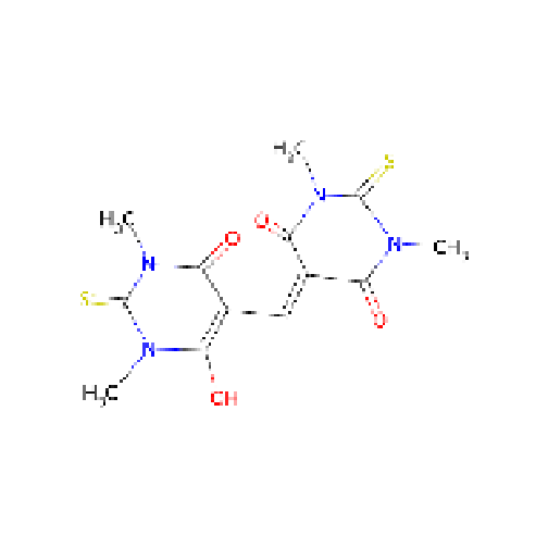 CN1C(=O)C(=Cc2c(O)n(C)c(=S)n(C)c2=O)C(=O)N(C)C1=S